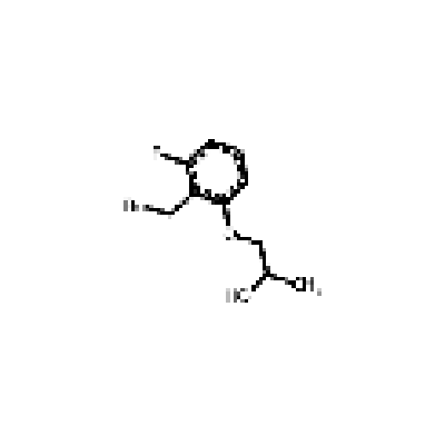 CCC(C)Cc1c(F)cccc1OCC(C)O